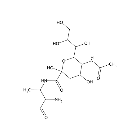 CC(=O)NC1C(O)CC(O)(C(=O)NC(C)C(N)C=O)OC1C(O)C(O)CO